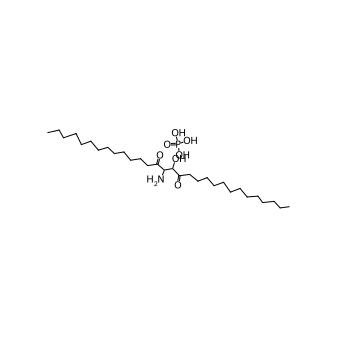 CCCCCCCCCCCCCC(=O)C(N)C(O)C(=O)CCCCCCCCCCCCC.O=P(O)(O)O